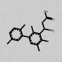 Cc1ccc(C)c(-c2cc(C)c(F)c(C(N)CC(=O)O)c2C)c1